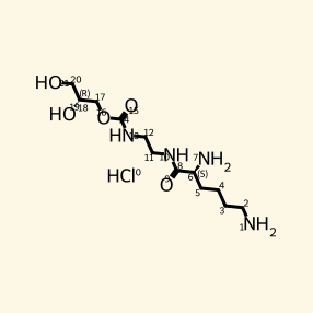 Cl.NCCCC[C@H](N)C(=O)NCCNC(=O)OC[C@H](O)CO